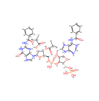 CO[C@@H]1[C@H](OP(=O)(O)OC[C@H]2O[C@@H](n3cnc4c(=O)[nH]c(NC(=O)c5ccccc5)nc43)[C@H](OC(=O)C(C)C)[C@@H]2OC(=O)C(C)C)[C@@H](COP(=O)(O)O)O[C@H]1n1cnc2c(NC(=O)c3ccccc3)ncnc21